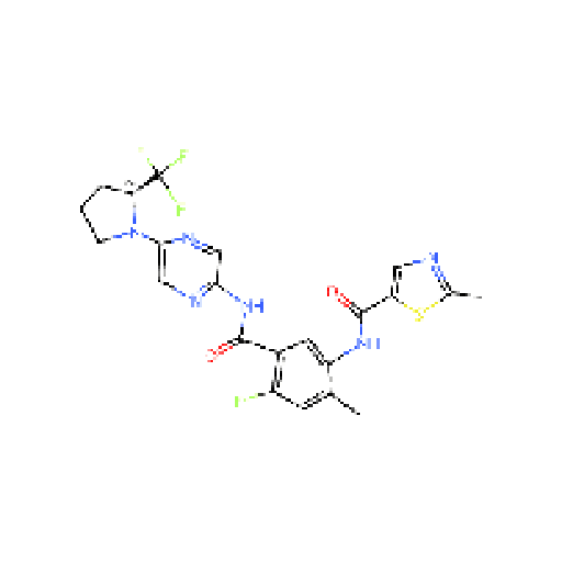 Cc1ncc(C(=O)Nc2cc(C(=O)Nc3cnc(N4CCC[C@H]4C(F)(F)F)cn3)c(F)cc2C)s1